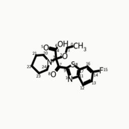 CCOC(C(=O)O)(C(=O)c1nc2ccc(F)cc2s1)N1CCCCC1